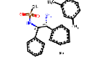 CS(=O)(=O)N[C@H](c1ccccc1)[C@H](N)c1ccccc1.Cc1cccc(C)c1.[Ru]